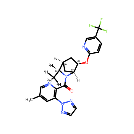 [2H]C([2H])([2H])[C@@]1([2H])[C@H]2C[C@@H](Oc3ccc(C(F)(F)F)cn3)[C@H](C2)N1C(=O)c1ncc(C)cc1-n1nccn1